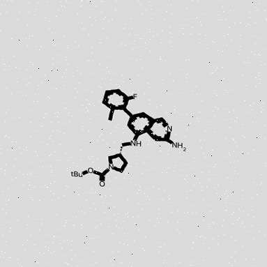 Cc1cccc(F)c1-c1cc(NC[C@@H]2CCN(C(=O)OC(C)(C)C)C2)c2cc(N)ncc2c1